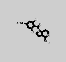 CC(=O)Nc1cc(Cl)c(C(=O)n2ccc3c(N)nccc32)c(Cl)c1